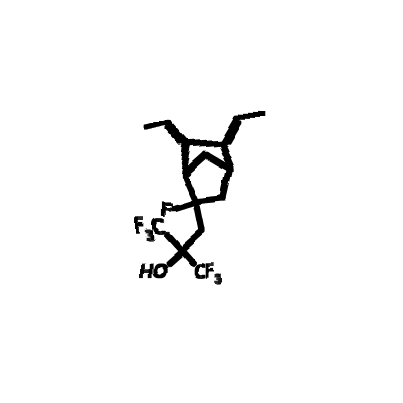 CC=C1C(=CC)C2CC1CC2(F)CC(O)(C(F)(F)F)C(F)(F)F